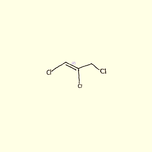 Cl/C=C(\Cl)CCl